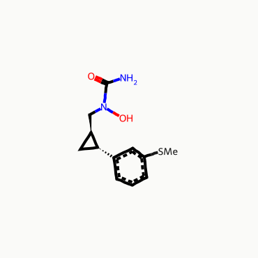 CSc1cccc([C@@H]2C[C@H]2CN(O)C(N)=O)c1